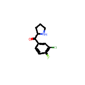 O=C(c1ccc(F)c(Cl)c1)C1CCCN1